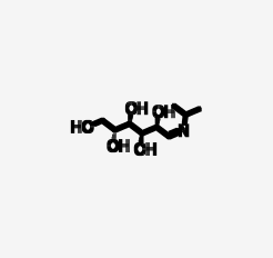 CC(C)/N=C\[C@H](O)[C@@H](O)[C@H](O)[C@H](O)CO